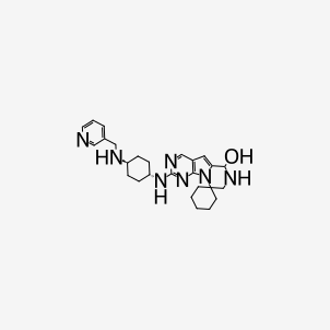 OC1NCC2(CCCCC2)n2c1cc1cnc(N[C@H]3CC[C@H](NCc4cccnc4)CC3)nc12